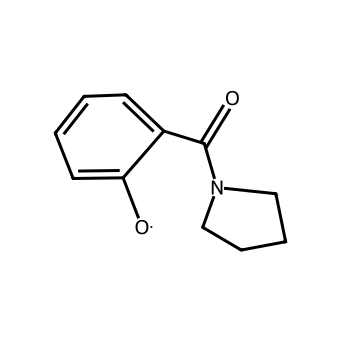 [O]c1ccccc1C(=O)N1CCCC1